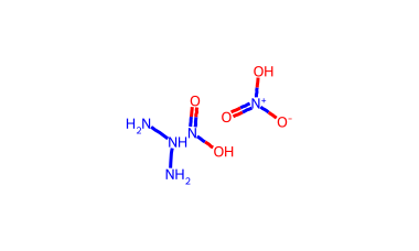 NNN.O=NO.O=[N+]([O-])O